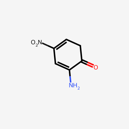 NC1=CC([N+](=O)[O-])=CCC1=O